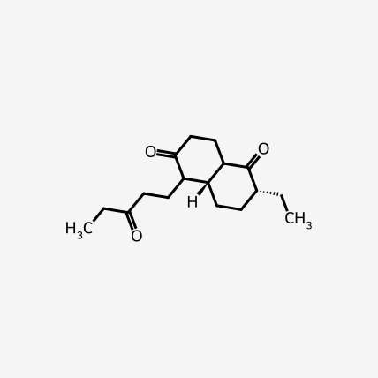 CCC(=O)CCC1C(=O)CCC2C(=O)[C@H](CC)CC[C@H]12